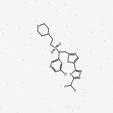 O=S(=O)(CCN1CCOCC1)N(Cc1ncc(-c2nnc(C(F)F)o2)s1)c1cncc(Cl)c1